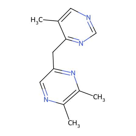 Cc1cncnc1Cc1cnc(C)c(C)n1